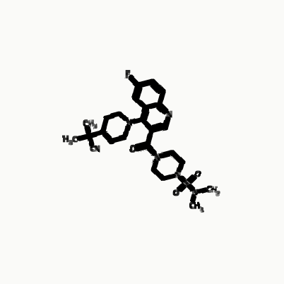 CN(C)S(=O)(=O)N1CCN(C(=O)c2cnc3ccc(F)cc3c2N2CCC(C(C)(C)C#N)CC2)CC1